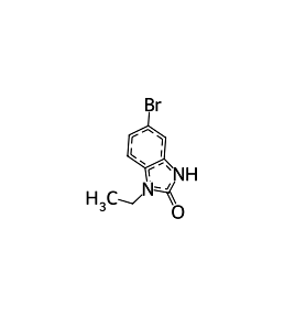 CCn1c(=O)[nH]c2cc(Br)ccc21